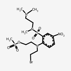 CN(C)CCN(C)S(=O)(=O)c1cc([N+](=O)[O-])ccc1N(CCBr)CCOS(C)(=O)=O